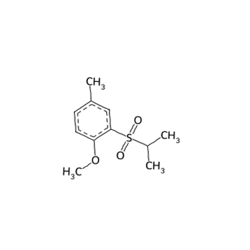 COc1ccc(C)cc1S(=O)(=O)C(C)C